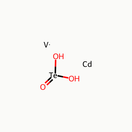 O=[Te](O)O.[Cd].[V]